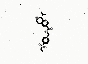 CCS(=O)(=O)c1ccc(CNC(=O)c2cnc3c(c2)CCN[C@@H]3C(C)C)cc1